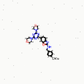 COc1ccc(CNc2nc3ccc(-c4nc(N5CCOCC5)nc(N5CCOCC5)n4)cc3o2)cc1